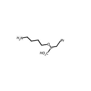 CC(C)CN(OCCCCN)C(=O)O